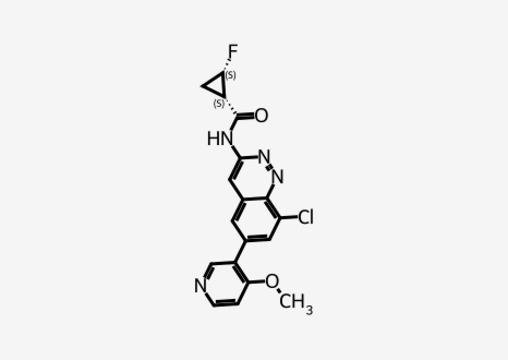 COc1ccncc1-c1cc(Cl)c2nnc(NC(=O)[C@@H]3C[C@@H]3F)cc2c1